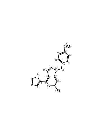 CCc1nc(-c2ccco2)c2ncn(Cc3ccc(OC)cc3)c2n1